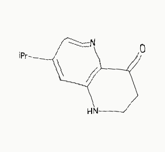 CC(C)c1cnc2c(c1)NCCC2=O